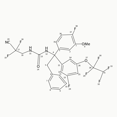 COc1cc(C(Cc2ccccc2)(NC(=O)NCC(F)(F)C#N)c2cc(F)cc(OC(F)(F)C(F)F)c2)ccc1F